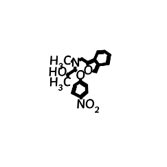 CC(O)C(Oc1ccc([N+](=O)[O-])cc1)N(C)Cc1occ2ccccc12